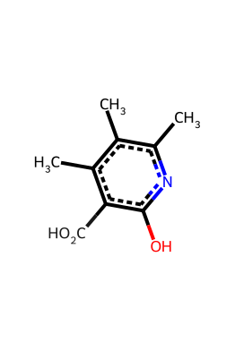 Cc1nc(O)c(C(=O)O)c(C)c1C